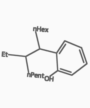 CCCCCCC(c1ccccc1O)C(CC)CCCCC